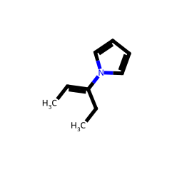 C/C=C(\CC)n1cccc1